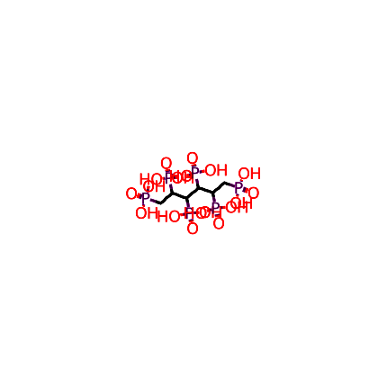 O=P(O)(O)CC(C(C(C(CP(=O)(O)O)P(=O)(O)O)P(=O)(O)O)P(=O)(O)O)P(=O)(O)O